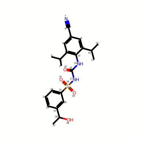 CC(C)c1cc(C#N)cc(C(C)C)c1NC(=O)NS(=O)(=O)c1cccc(C(C)O)c1